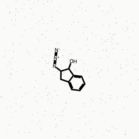 [N-]=[N+]=NC1Cc2ccccc2C1O